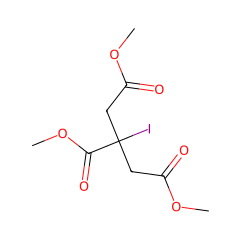 COC(=O)CC(I)(CC(=O)OC)C(=O)OC